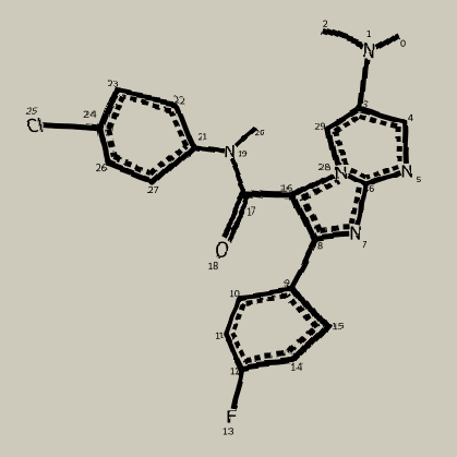 CN(C)c1cnc2nc(-c3ccc(F)cc3)c(C(=O)N(C)c3ccc(Cl)cc3)n2c1